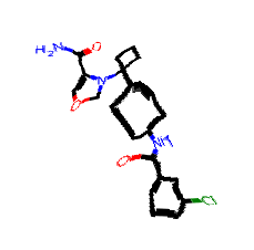 NC(=O)C1=COCN1C1(c2ccc(NC(=O)c3cccc(Cl)c3)cc2)CCC1